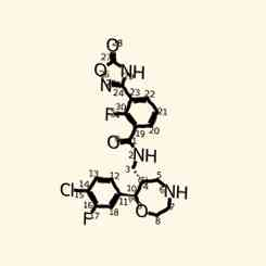 O=C(NC[C@@H]1CNCCO[C@H]1c1ccc(Cl)c(F)c1)c1cccc(-c2noc(=O)[nH]2)c1F